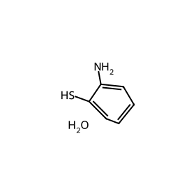 Nc1ccccc1S.O